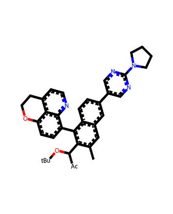 CC(=O)C(OC(C)(C)C)c1c(C)cc2cc(-c3cnc(N4CCCC4)nc3)ccc2c1-c1ccc2c3c(ccnc13)CCO2